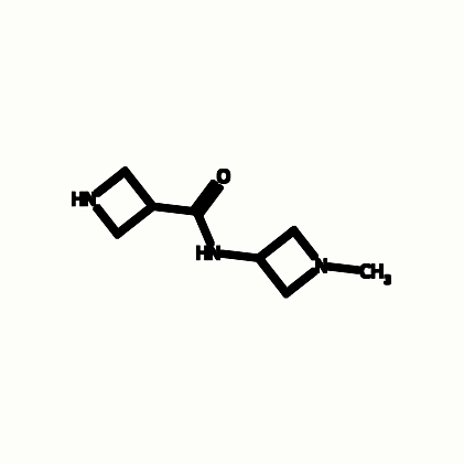 CN1CC(NC(=O)C2CNC2)C1